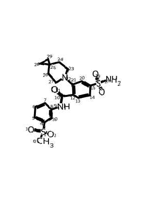 CS(=O)(=O)c1cccc(NC(=O)c2ccc(S(N)(=O)=O)cc2N2CCC3(CC2)CC3)c1